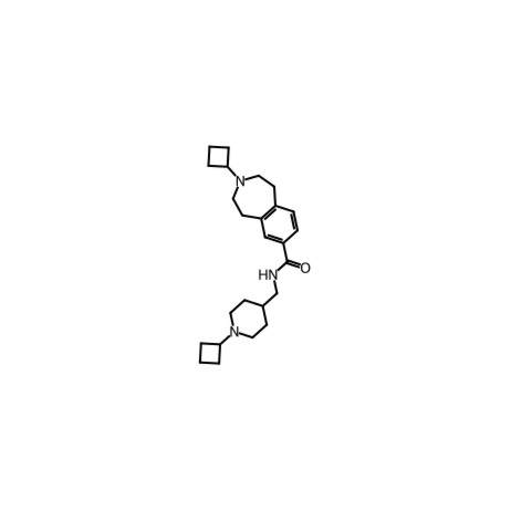 O=C(NCC1CCN(C2CCC2)CC1)c1ccc2c(c1)CCN(C1CCC1)CC2